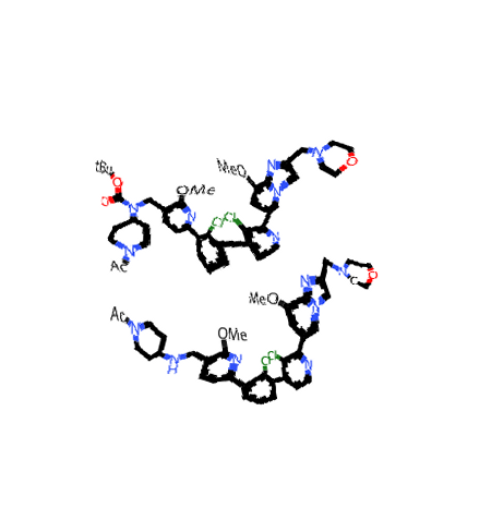 COc1nc(-c2cccc(-c3ccnc(-c4cc(OC)c5nc(CN6CCOCC6)cn5c4)c3Cl)c2Cl)ccc1CN(C(=O)OC(C)(C)C)C1CCN(C(C)=O)CC1.COc1nc(-c2cccc(-c3ccnc(-c4cc(OC)c5nc(CN6CCOCC6)cn5c4)c3Cl)c2Cl)ccc1CNC1CCN(C(C)=O)CC1